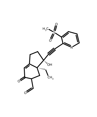 CC[C@]12CC(C=O)C(=O)C=C1CC[C@@]2(O)C#Cc1ncccc1S(C)(=O)=O